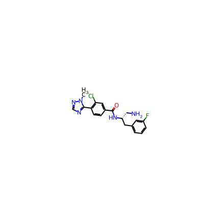 Cn1ncnc1-c1ccc(C(=O)N[C@H](CN)Cc2cccc(F)c2)cc1Cl